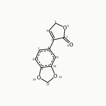 O=C1OCC=C1c1ccc2c(c1)OCO2